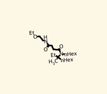 CCCCCCN(C(=O)CCC(=O)NCCOCC)C(C)(CC)CCCCCC